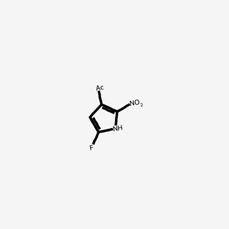 CC(=O)c1cc(F)[nH]c1[N+](=O)[O-]